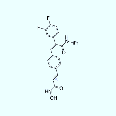 CC(C)NC(=O)C(=Cc1ccc(/C=C/C(=O)NO)cc1)c1ccc(F)c(F)c1